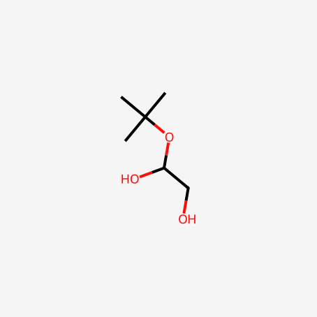 CC(C)(C)OC(O)CO